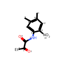 CCC(=O)C(=O)Nc1cc(C)c(C)cc1[N+](=O)[O-]